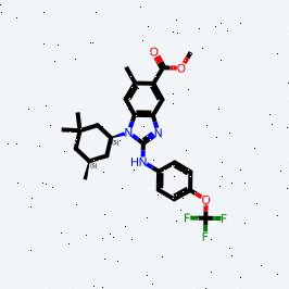 COC(=O)c1cc2nc(Nc3ccc(OC(F)(F)F)cc3)n([C@H]3C[C@@H](C)CC(C)(C)C3)c2cc1C